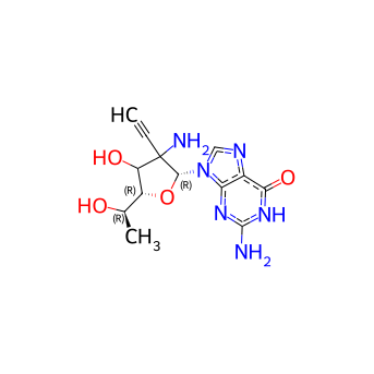 C#CC1(N)C(O)[C@@H]([C@@H](C)O)O[C@H]1n1cnc2c(=O)[nH]c(N)nc21